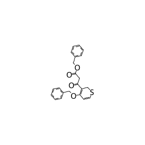 O=C(CC(=O)C1=C(OCc2ccccc2)C=CSC1)OCc1ccccc1